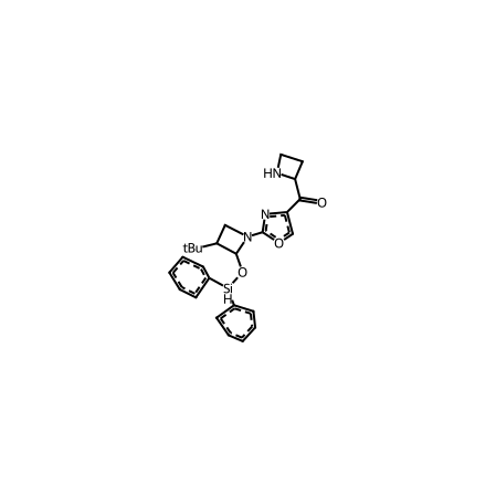 CC(C)(C)C1CN(c2nc(C(=O)C3CCN3)co2)C1O[SiH](c1ccccc1)c1ccccc1